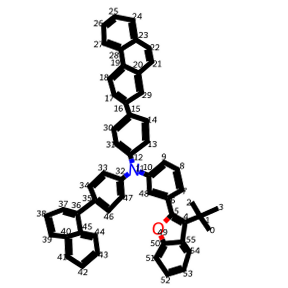 CC(C)(C)c1c(-c2cccc(N(c3ccc(-c4ccc5c(ccc6ccccc65)c4)cc3)c3ccc(-c4cccc5ccccc45)cc3)c2)oc2ccccc12